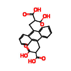 O=C(O)C(Cc1c2ccccc2c(CC(C(=O)O)C(=O)O)c2ccccc12)C(=O)O